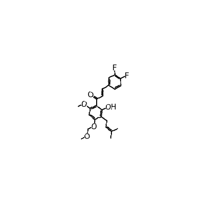 COCOc1cc(OC)c(C(=O)C=Cc2ccc(F)c(F)c2)c(O)c1CC=C(C)C